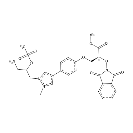 C[n+]1cc(-c2ccc(OC[C@H](ON3C(=O)c4ccccc4C3=O)C(=O)OC(C)(C)C)cc2)cn1CC(CN)OS(=O)(=O)C(F)(F)F